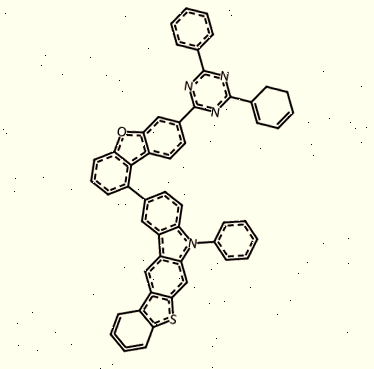 C1=C=Cc2c(sc3cc4c(cc23)c2cc(-c3cccc5oc6cc(-c7nc(C8=CC=CCC8)nc(-c8ccccc8)n7)ccc6c35)ccc2n4-c2ccccc2)C=1